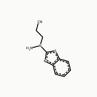 N#CCCN(N)c1nc2ccccc2s1